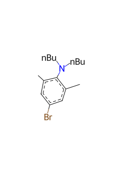 CCCCN(CCCC)c1c(C)cc(Br)cc1C